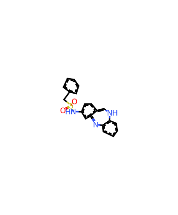 O=S(=O)(Cc1ccccc1)Nc1ccc2c(c1)=Nc1ccccc1NC=2